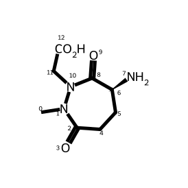 CN1C(=O)CC[C@H](N)C(=O)N1CC(=O)O